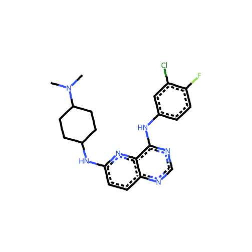 CN(C)C1CCC(Nc2ccc3ncnc(Nc4ccc(F)c(Cl)c4)c3n2)CC1